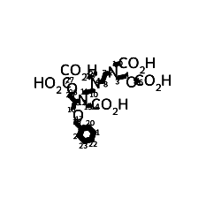 O=C(O)CN(CCOC(=O)O)CCN(CCN(CC(=O)O)C(COCc1ccccc1)COC(=O)O)CC(=O)O